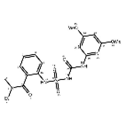 CCN(C)C(=O)c1ccccc1NS(=O)(=O)NC(=O)Nc1nc(OC)cc(OC)n1